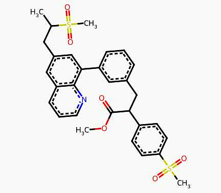 COC(=O)C(Cc1cccc(-c2cc(CC(C)S(C)(=O)=O)cc3cccnc23)c1)c1ccc(S(C)(=O)=O)cc1